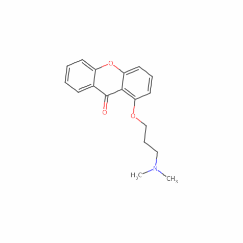 CN(C)CCCOc1cccc2oc3ccccc3c(=O)c12